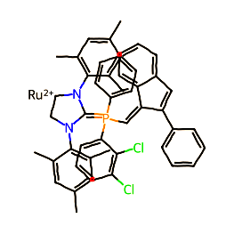 Cc1cc(C)c(N2CCN(c3c(C)cc(C)cc3C)C2=P(C=C2C(c3ccccc3)=Cc3ccccc32)(c2ccccc2)c2cccc(Cl)c2Cl)c(C)c1.[Ru+2]